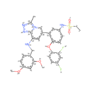 CCS(=O)(=O)Nc1ccc(Oc2ccc(F)cc2F)c(-c2cc(NCc3ccc(OC)cc3OC)c3nnc(C)n3c2)c1